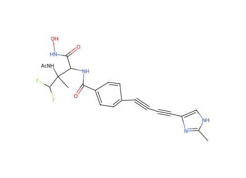 CC(=O)NC(C)(C(F)F)C(NC(=O)c1ccc(C#CC#Cc2c[nH]c(C)n2)cc1)C(=O)NO